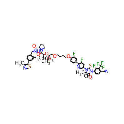 Cc1ncsc1-c1ccc(CNC(=O)[C@@H]2CCCN2C(=O)C(OC(=O)COCCCCOc2ccc(-c3ncc(N4C(=S)N(c5ccc(C#N)c(C(F)(F)F)c5F)C(=O)C4(C)C)cc3F)cc2F)C(C)(C)C)cc1